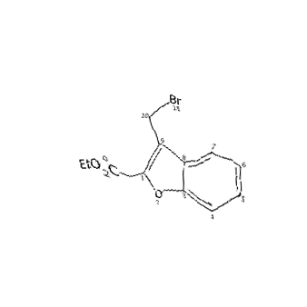 CCOC(=O)c1oc2ccccc2c1CBr